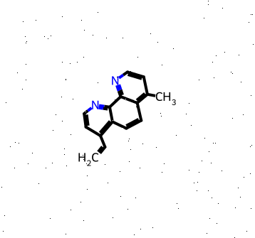 C=Cc1ccnc2c1ccc1c(C)ccnc12